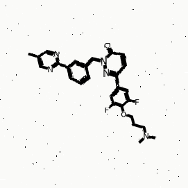 Cc1cnc(-c2cccc(Cn3nc(-c4cc(F)c(OCCCN(C)C)c(F)c4)ccc3=O)c2)nc1